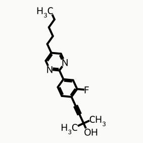 CCCCCc1cnc(-c2ccc(C#CC(C)(C)O)c(F)c2)nc1